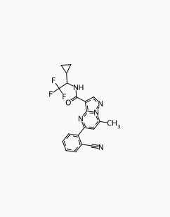 Cc1cc(-c2ccccc2C#N)nc2c(C(=O)NC(C3CC3)C(F)(F)F)cnn12